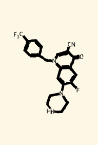 N#Cc1cn(Cc2ccc(C(F)(F)F)cc2)c2cc(N3CCNCC3)c(F)cc2c1=O